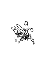 CCN1CC(=O)N2[C@@H](c3ccccc3)C(=O)N(CCC(c3ccccc3)c3ccccc3)C[C@@H]2N1C(=O)NCc1ccc(F)cc1